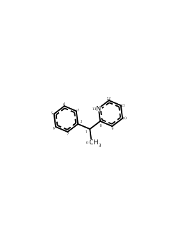 CC(c1[c]cccc1)c1ccccn1